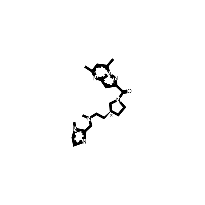 Cc1cc(C)n2nc(C(=O)N3CC[C@@H](CCN(C)Cc4nccn4C)C3)cc2n1